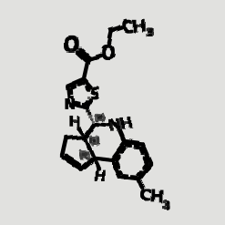 CCOC(=O)c1cnc([C@@H]2Nc3ccc(C)cc3[C@@H]3C=CC[C@@H]32)s1